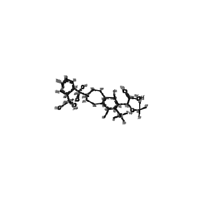 Cc1c2c(c(C)c([Si](C)(C)C)c1C(OC(C)(C)C)C(=O)O)CCN(S(=O)(=O)c1ccccc1[N+](=O)[O-])CC2